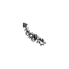 CC(C)(c1cc2ccccn2c1)S(=O)(=O)c1ccc(OCCCCBr)cc1